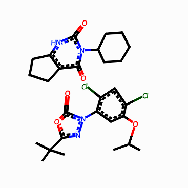 CC(C)Oc1cc(-n2nc(C(C)(C)C)oc2=O)c(Cl)cc1Cl.O=c1[nH]c2c(c(=O)n1C1CCCCC1)CCC2